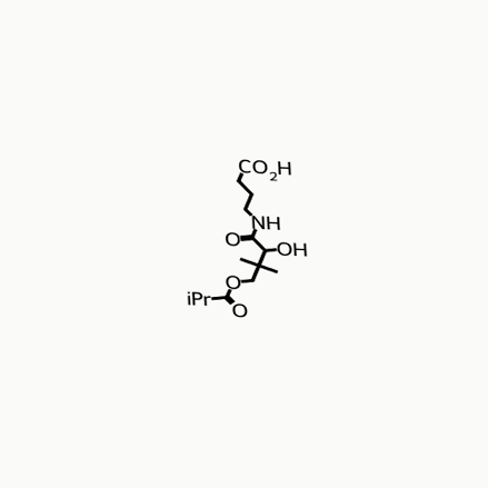 CC(C)C(=O)OCC(C)(C)C(O)C(=O)NCCCC(=O)O